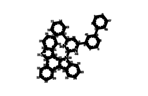 c1ccc(-c2cccc(-c3cc(-c4ccccc4)nc(-n4c5ccccc5c5c6ccccc6c6sc7ccccc7c6c54)n3)c2)cc1